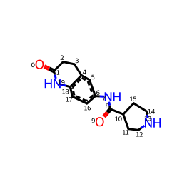 O=C1CCc2cc(NC(=O)C3CCNCC3)ccc2N1